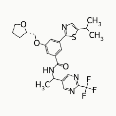 CC(C)c1cnc(-c2cc(OC[C@@H]3CCCO3)cc(C(=O)NC(C)c3cnc(C(F)(F)F)nc3)c2)s1